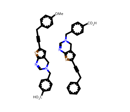 COc1ccc(CC#Cc2cc3c(s2)N=CN(Cc2ccc(C(=O)O)cc2)C3)cc1.O=C(O)c1ccc(CN2C=Nc3sc(C#CCc4ccccc4)cc3C2)cc1